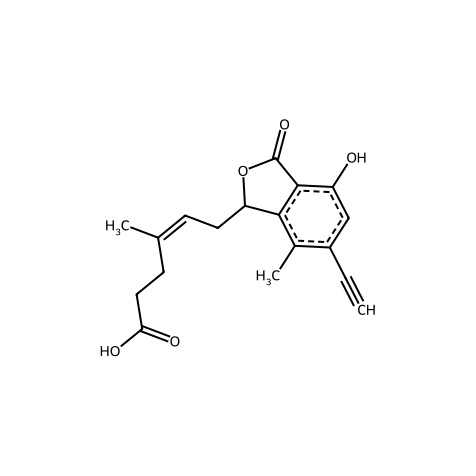 C#Cc1cc(O)c2c(c1C)C(CC=C(C)CCC(=O)O)OC2=O